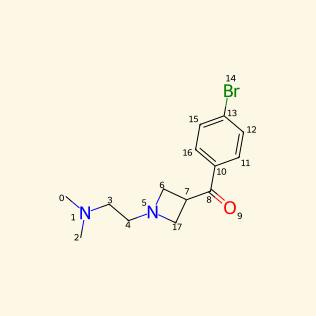 CN(C)CCN1CC(C(=O)c2ccc(Br)cc2)C1